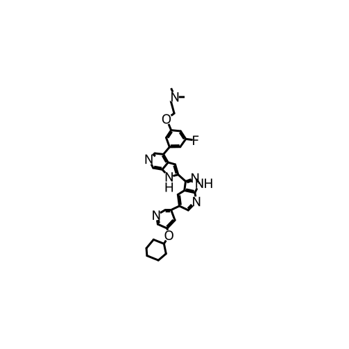 CN(C)CCOc1cc(F)cc(-c2cncc3[nH]c(-c4n[nH]c5ncc(-c6cncc(OC7CCCCC7)c6)cc45)cc23)c1